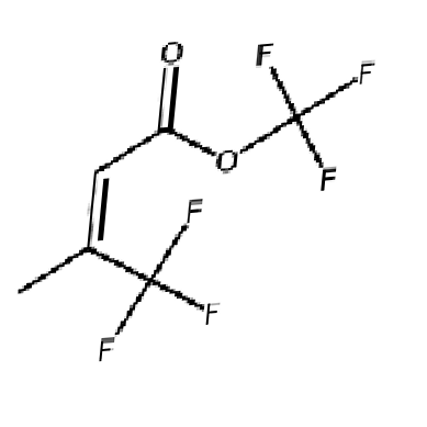 C/C(=C/C(=O)OC(F)(F)F)C(F)(F)F